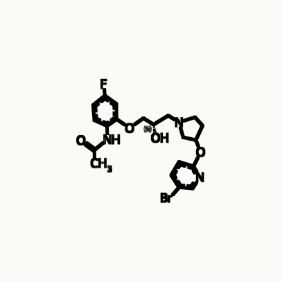 CC(=O)Nc1ccc(F)cc1OC[C@@H](O)CN1CCC(Oc2ccc(Br)cn2)C1